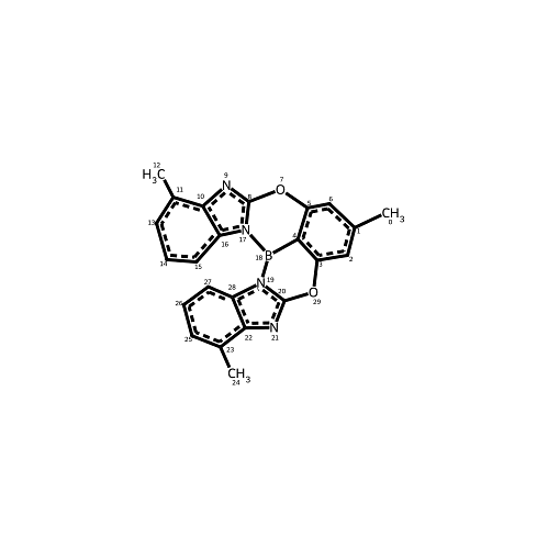 Cc1cc2c3c(c1)Oc1nc4c(C)cccc4n1B3n1c(nc3c(C)cccc31)O2